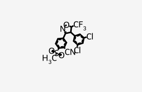 CS(=O)(=O)c1ccc(C2=NOC(C(F)(F)F)C2c2cc(Cl)cc(Cl)c2)cc1C#N